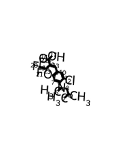 CC(C)CN(C)c1cc2c(cc1Cl)C=C(C(=O)O)C(C(F)(F)F)O2